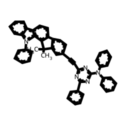 CC1(C)c2cc(C#Cc3nc(-c4ccccc4)nc(N(c4ccccc4)c4ccccc4)n3)ccc2-c2ccc3c4ccccc4n(-c4ccccc4)c3c21